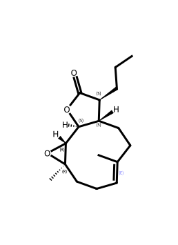 CCC[C@@H]1C(=O)O[C@H]2[C@H]1CC/C(C)=C/CC[C@@]1(C)O[C@H]21